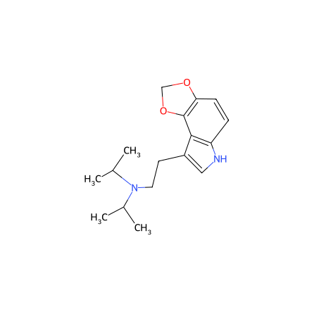 CC(C)N(CCc1c[nH]c2ccc3c(c12)OCO3)C(C)C